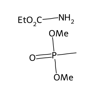 CCOC(N)=O.COP(C)(=O)OC